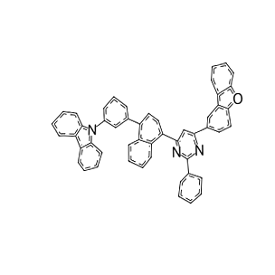 c1ccc(-c2nc(-c3ccc4oc5ccccc5c4c3)cc(-c3ccc(-c4cccc(-n5c6ccccc6c6ccccc65)c4)c4ccccc34)n2)cc1